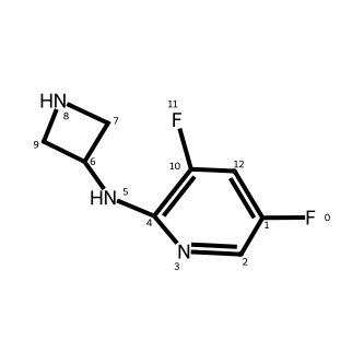 Fc1cnc(NC2CNC2)c(F)c1